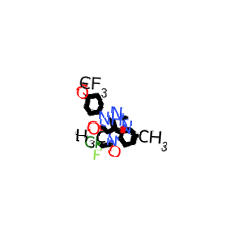 Cc1ccc(N(C(=O)[C@H](F)Cl)[C@](C)(C(=O)N[C@H]2CC[C@@H](OC(F)(F)F)CC2)c2cncnc2)cc1